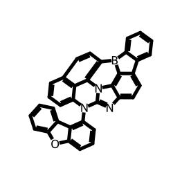 c1ccc2c(c1)B1c3c-2ccc2nc4n(-c5cccc6oc7ccccc7c56)c5cccc6ccc1c(c65)n4c32